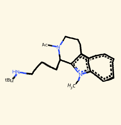 CC(=O)N1CCc2c(n(C)c3ccccc23)C1CCCNC(C)(C)C